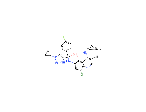 BC(Nc1cc(Cl)c2ncc(C#N)c(N[C@@H]3C[C@H]3CC)c2c1)(C1=CN(C2CC2)NN1)c1ccc(F)cc1